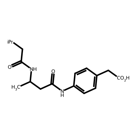 CC(C)CC(=O)NC(C)CC(=O)Nc1ccc(CC(=O)O)cc1